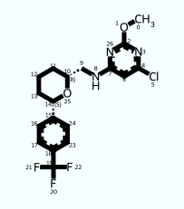 COc1nc(Cl)cc(NC[C@H]2CCC[C@@H](c3ccc(C(F)(F)F)cc3)O2)n1